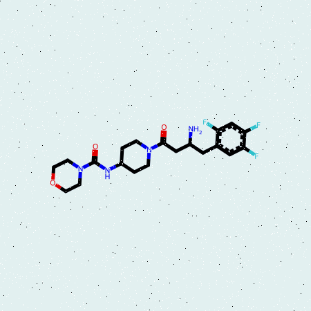 NC(CC(=O)N1CCC(NC(=O)N2CCOCC2)CC1)Cc1cc(F)c(F)cc1F